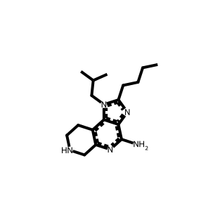 CCCCc1nc2c(N)nc3c(c2n1CC(C)C)CCNC3